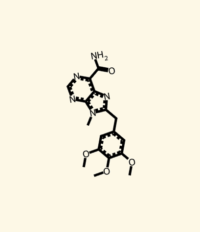 COc1cc(Cc2nc3c(C(N)=O)ncnc3n2C)cc(OC)c1OC